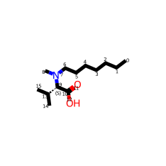 CCCCCCCN(C)[C@H](C(=O)O)C(C)C